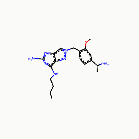 CCCCNc1nc(N)nc2cn(Cc3ccc([C@H](C)N)cc3OC)nc12